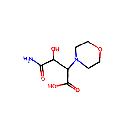 NC(=O)C(O)C(C(=O)O)N1CCOCC1